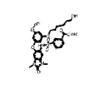 CCCOc1cc(OCCCCCCO)cc(Oc2cc3c(cc2NS(=O)(=O)c2cccc(C(=O)OC)c2)n(C)c(=O)n3C)c1